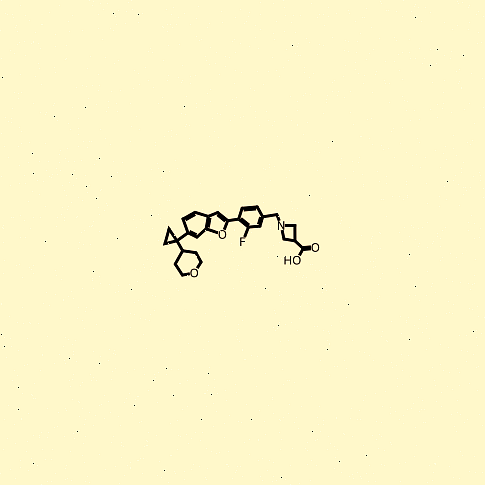 O=C(O)C1CN(Cc2ccc(-c3cc4ccc(C5(C6CCOCC6)CC5)cc4o3)c(F)c2)C1